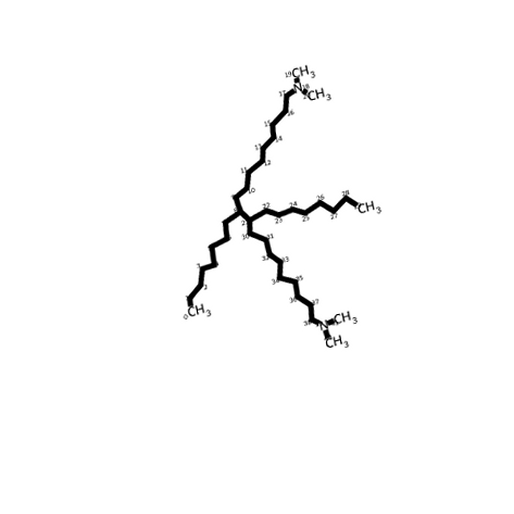 CCCCCCCCC(CCCCCCCCCN(C)C)C(CCCCCCCC)CCCCCCCCCN(C)C